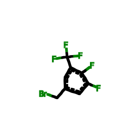 Fc1cc(CBr)cc(C(F)(F)F)c1F